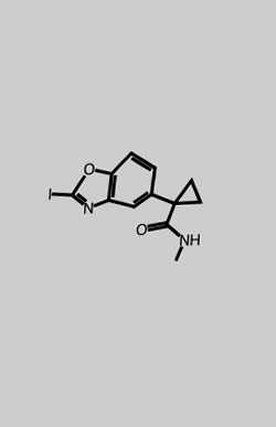 CNC(=O)C1(c2ccc3oc(I)nc3c2)CC1